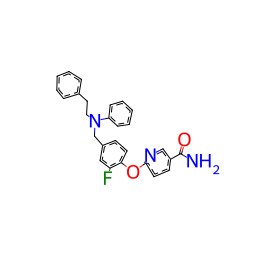 NC(=O)c1ccc(Oc2ccc(CN(CCc3ccccc3)c3ccccc3)cc2F)nc1